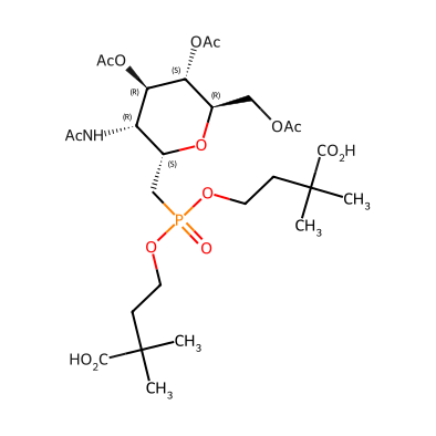 CC(=O)N[C@@H]1[C@@H](OC(C)=O)[C@H](OC(C)=O)[C@@H](COC(C)=O)O[C@@H]1CP(=O)(OCCC(C)(C)C(=O)O)OCCC(C)(C)C(=O)O